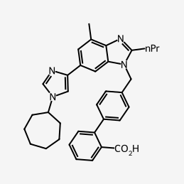 CCCc1nc2c(C)cc(-c3cn(C4CCCCCC4)cn3)cc2n1Cc1ccc(-c2ccccc2C(=O)O)cc1